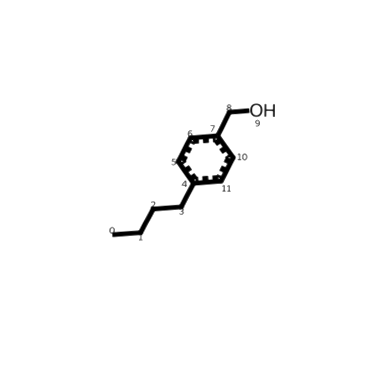 CCCCc1ccc(CO)cc1